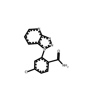 NC(=O)c1ccc(Cl)cc1-n1nnc2ncccc21